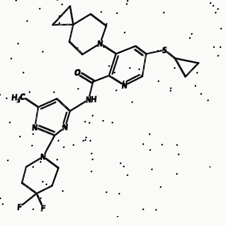 Cc1cc(NC(=O)c2ncc(SC3CC3)cc2N2CCC3(CC2)CC3)nc(N2CCC(F)(F)CC2)n1